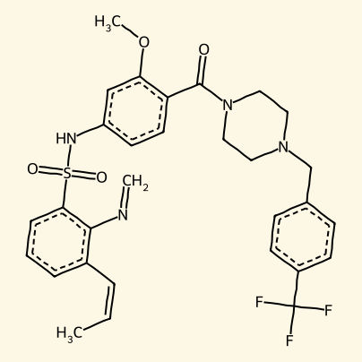 C=Nc1c(/C=C\C)cccc1S(=O)(=O)Nc1ccc(C(=O)N2CCN(Cc3ccc(C(F)(F)F)cc3)CC2)c(OC)c1